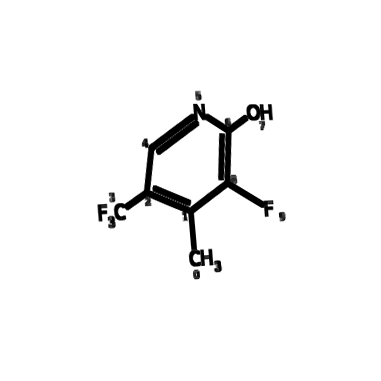 Cc1c(C(F)(F)F)cnc(O)c1F